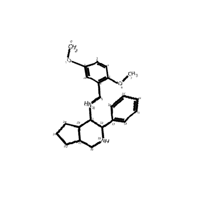 COc1ccc(OC)c(CNC2C(c3ccccc3)NCC3CCCC32)c1